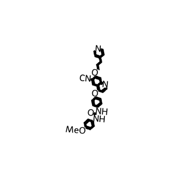 [C-]#[N+]c1cc2c(Oc3ccc(NC(=O)Nc4ccc(OC)cc4)cc3)ccnc2cc1OCCCc1ccncc1